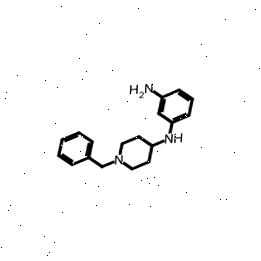 Nc1cccc(NC2CCN(Cc3ccccc3)CC2)c1